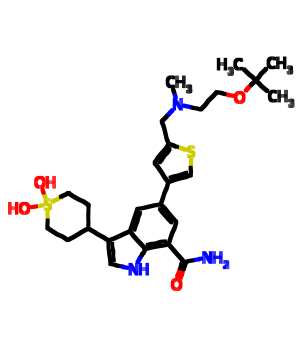 CN(CCOC(C)(C)C)Cc1cc(-c2cc(C(N)=O)c3[nH]cc(C4CCS(O)(O)CC4)c3c2)cs1